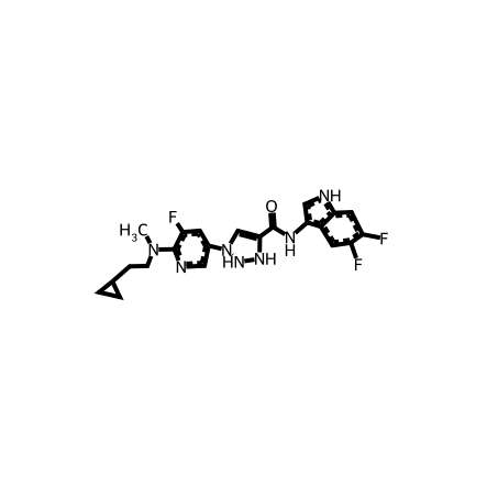 CN(CCC1CC1)c1ncc(N2C=C(C(=O)Nc3c[nH]c4cc(F)c(F)cc34)NN2)cc1F